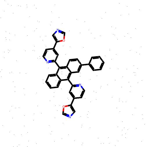 c1ccc(-c2ccc3c(-c4cc(-c5cnco5)ccn4)c4ccccc4c(-c4cc(-c5cnco5)ccn4)c3c2)cc1